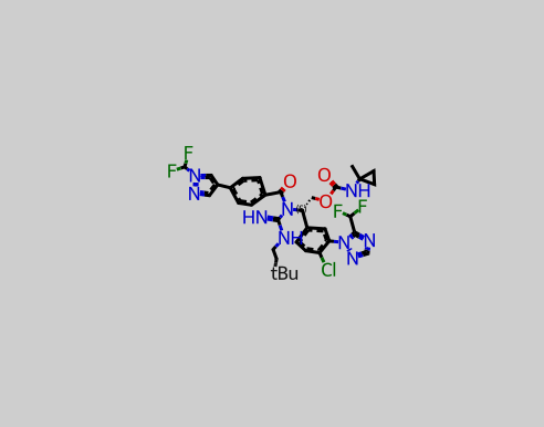 CC(C)(C)CCNC(=N)N(C(=O)c1ccc(-c2cnn(C(F)F)c2)cc1)[C@H](COC(=O)NC1(C)CC1)c1ccc(Cl)c(-n2ncnc2C(F)F)c1